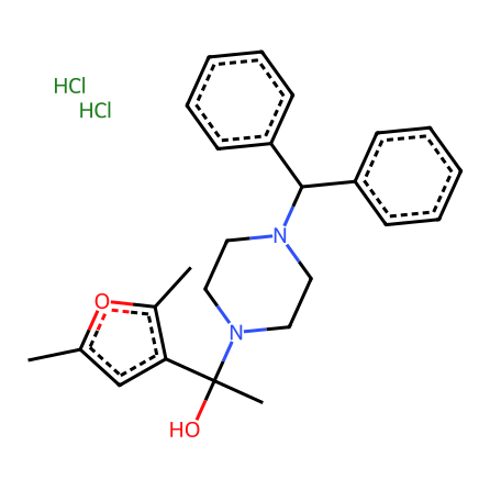 Cc1cc(C(C)(O)N2CCN(C(c3ccccc3)c3ccccc3)CC2)c(C)o1.Cl.Cl